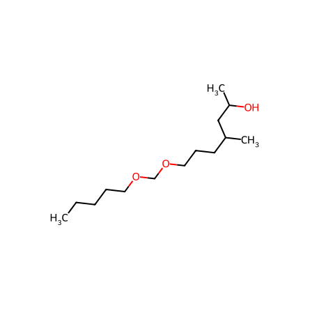 CCCCCOCOCCCC(C)CC(C)O